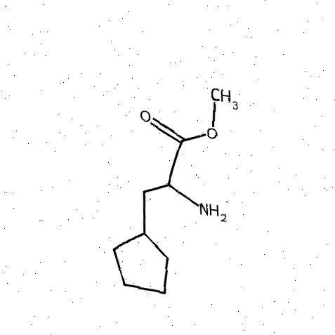 COC(=O)C(N)CC1CCCC1